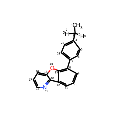 [2H]C([2H])(C)c1ccc(-c2cccc3c2oc2cccnc23)cc1